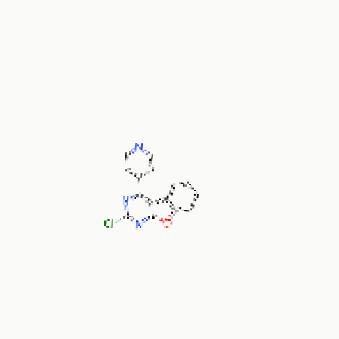 Clc1nc(-c2ccncc2)c2c(n1)oc1ccccc12